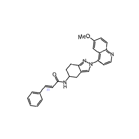 COc1ccc2nccc(-n3cc4c(n3)CCC(NC(=O)/C=C/c3ccccc3)C4)c2c1